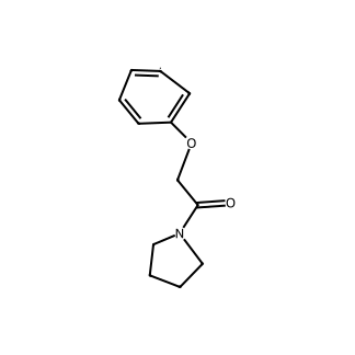 O=C(COc1c[c]ccc1)N1CCCC1